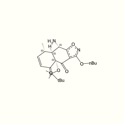 CCCCOc1noc2c1C(=O)[C@@]1(O[Si](C)(C)C(C)(C)C)C(=O)C=C[C@H](C)[C@H]1[C@@H]2N